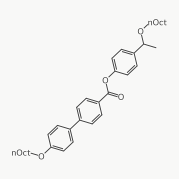 CCCCCCCCOc1ccc(-c2ccc(C(=O)Oc3ccc(C(C)OCCCCCCCC)cc3)cc2)cc1